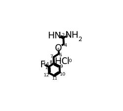 Cl.N=C(N)COCCc1ccccc1F